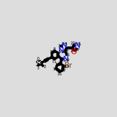 C[Si](C)(C)C#Cc1ccc2c(c1)C(c1ccccc1Br)=NCc1c(-c3cnco3)ncn1-2